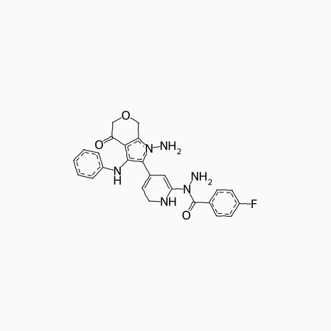 NN(C(=O)c1ccc(F)cc1)C1=CC(c2c(Nc3ccccc3)c3c(n2N)COCC3=O)=CCN1